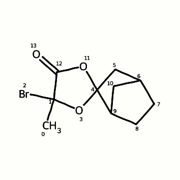 CC1(Br)OC2(CC3CCC2C3)OC1=O